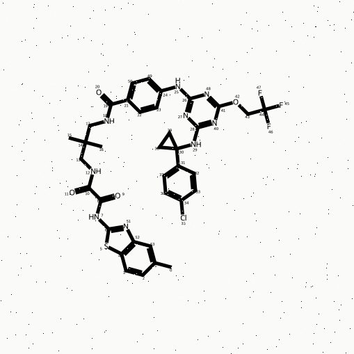 Cc1ccc2sc(NC(=O)C(=O)NCC(C)(C)CNC(=O)c3ccc(Nc4nc(NC5(c6ccc(Cl)cc6)CC5)nc(OCC(F)(F)F)n4)cc3)nc2c1